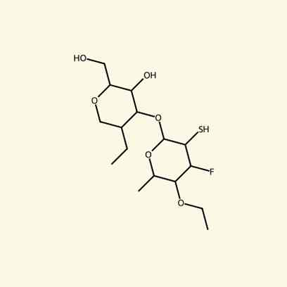 CCOC1C(C)OC(OC2C(CC)COC(CO)C2O)C(S)C1F